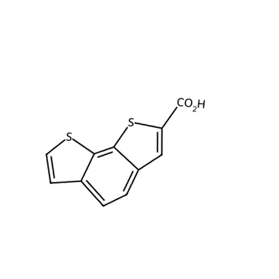 O=C(O)c1cc2ccc3ccsc3c2s1